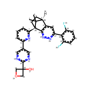 CC1(C)[C@H]2CC[C@@]1(c1cccc(-c3cnc(C4(O)COC4)nc3)n1)c1nnc(-c3c(F)cccc3F)cc12